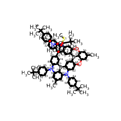 CSN1c2cc3c(cc2B2c4cc(C(C)(C)C)ccc4N(c4ccc(C(C)(C)C)cc4)c4cc(C)cc1c42)B1c2cc4c(cc2Oc2cc(C)cc(c21)O3)N(c1ccc(C(C)(C)C)cc1)c1cc(C)cc2c1B4c1cc(C(C)(C)C)ccc1N2c1ccc(C(C)(C)C)cc1